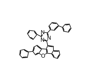 c1ccc(-c2cccc(-c3nc(-c4ccccc4)nc(-c4cc5ccccc5c5oc6cc(-c7ccccc7)ccc6c45)n3)c2)cc1